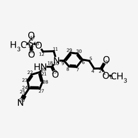 COC(=O)CCc1ccc(N(CCOS(C)(=O)=O)C(=O)Nc2ccc(C#N)cc2)cc1